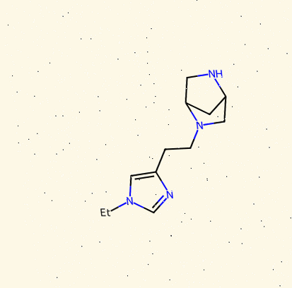 CCn1cnc(CCN2CC3CC2CN3)c1